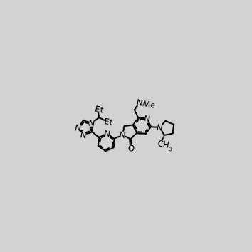 CCC(CC)n1cnnc1-c1cccc(N2Cc3c(cc(N4CCC[C@H]4C)nc3CNC)C2=O)n1